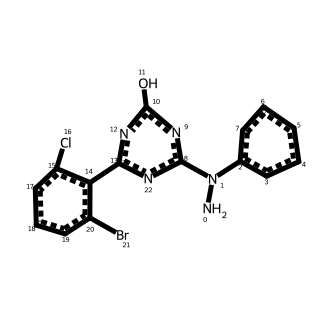 NN(c1ccccc1)c1nc(O)nc(-c2c(Cl)cccc2Br)n1